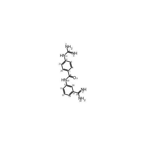 N=C(N)Nc1ccc(C(=O)Nc2cccc(C(=N)N)c2)cc1